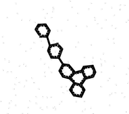 c1ccc(-c2ccc(-c3ccc4c5ccccc5c5ccccc5c4c3)cn2)nc1